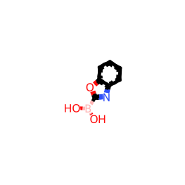 OB(O)c1nc2ccccc2o1